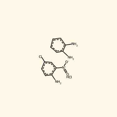 Cl.Nc1ccc(Cl)cc1[N+](=O)[O-].Nc1ccccc1N